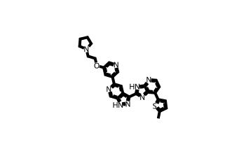 Cc1ccc(-c2ccnc3[nH]c(-c4n[nH]c5cnc(-c6cncc(OCCN7CCCC7)c6)cc45)nc23)s1